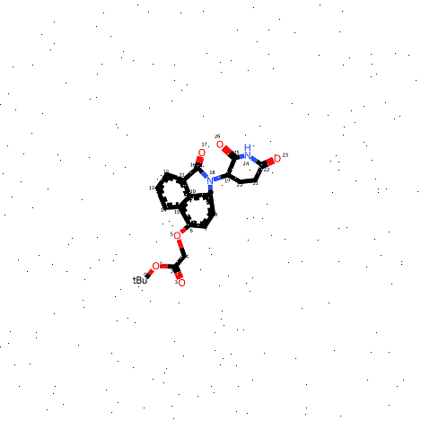 CC(C)(C)OC(=O)COc1ccc2c3c(cccc13)C(=O)N2C1CCC(=O)NC1=O